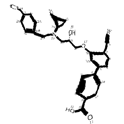 N#Cc1ccc(-c2ccc(C(=O)O)cc2)cc1OC[C@@H](O)CN(Cc1ccc(Cl)cc1)C1CC1